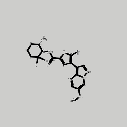 CCCOc1cnc2c(-c3cc(C(=O)N[C@@H]4[C@@H](N)CCCC4(F)F)sc3CC)cnn2c1